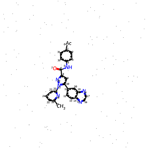 CC(=O)c1ccc(NC(=O)c2cc(-c3ccc4nccnc4c3)n(-c3cccc(C)n3)n2)cc1